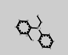 CCP(c1ccccc1)c1ccccc1C